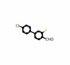 O=Cc1ccc(-c2ccc(Cl)cc2)cc1F